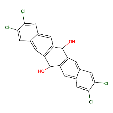 OC1c2cc3cc(Cl)c(Cl)cc3cc2C(O)c2cc3cc(Cl)c(Cl)cc3cc21